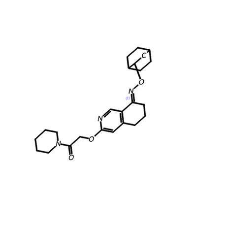 O=C(COc1cc2c(cn1)/C(=N/OC1CC3CCC1CC3)CCC2)N1CCCCC1